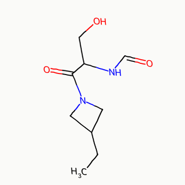 CCC1CN(C(=O)C(CO)NC=O)C1